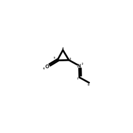 CC=NC1CC1=O